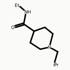 CCNC(=O)C1CCN(CC(C)C)CC1